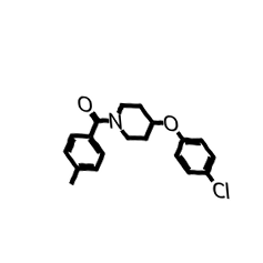 Cc1ccc(C(=O)N2CCC(Oc3ccc(Cl)cc3)CC2)cc1